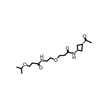 CC(=O)[C@H]1C[C@@H](NC(=O)CCOCCNC(=O)CCOC(C)C)C1